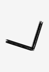 [Ti].[Ti].[Zr].[Zr].[Zr].[Zr].[Zr].[Zr].[Zr].[Zr].[Zr].[Zr].[Zr].[Zr].[Zr].[Zr].[Zr].[Zr].[Zr].[Zr].[Zr].[Zr].[Zr].[Zr].[Zr].[Zr].[Zr].[Zr].[Zr].[Zr].[Zr].[Zr].[Zr].[Zr].[Zr].[Zr].[Zr].[Zr].[Zr].[Zr].[Zr].[Zr].[Zr].[Zr].[Zr].[Zr].[Zr].[Zr].[Zr].[Zr].[Zr].[Zr]